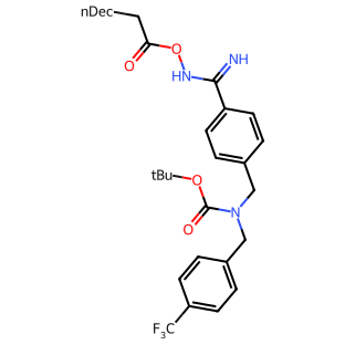 CCCCCCCCCCCC(=O)ONC(=N)c1ccc(CN(Cc2ccc(C(F)(F)F)cc2)C(=O)OC(C)(C)C)cc1